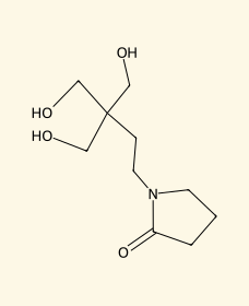 O=C1CCCN1CCC(CO)(CO)CO